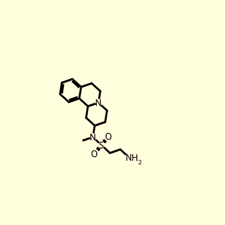 CN(C1CCN2CCc3ccccc3C2C1)S(=O)(=O)CCN